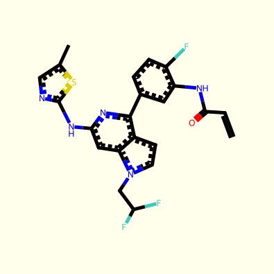 C=CC(=O)Nc1cc(-c2nc(Nc3ncc(C)s3)cc3c2ccn3CC(F)F)ccc1F